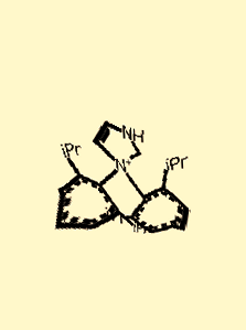 CC(C)c1cccc(C(C)C)c1[N+]1(c2c(C(C)C)cccc2C(C)C)C=CNC1